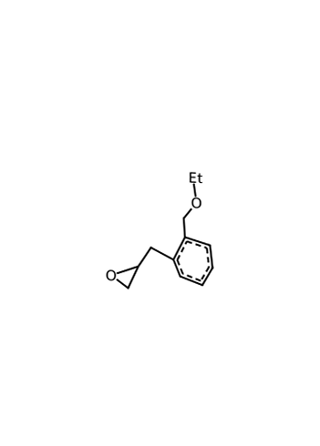 CCOCc1ccccc1CC1CO1